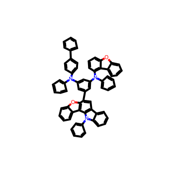 c1ccc(-c2ccc(N(c3ccccc3)c3cc(-c4cc5c6ccccc6n(-c6ccccc6)c5c5c4oc4ccccc45)cc(N(c4ccccc4)c4cccc5oc6ccccc6c45)c3)cc2)cc1